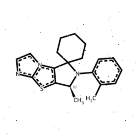 Cc1ccccc1N1[C@@H](C)c2sc3nccn3c2C12CCCCC2